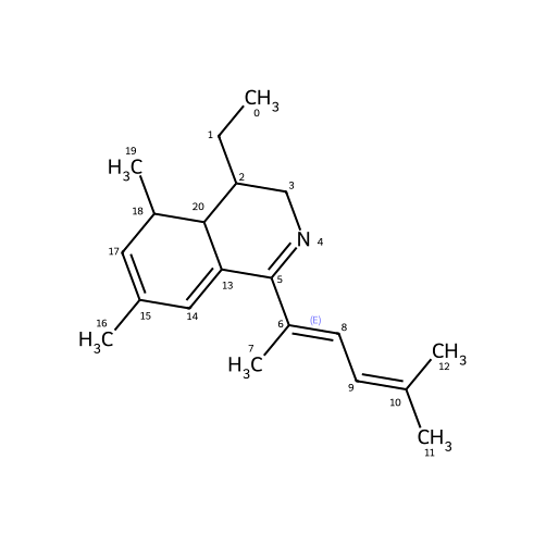 CCC1CN=C(/C(C)=C/C=C(C)C)C2=CC(C)=CC(C)C21